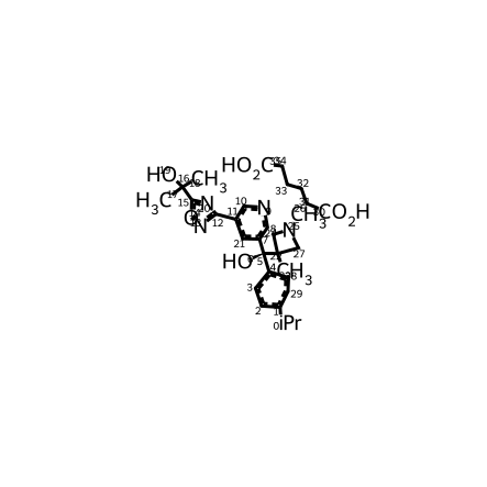 CC(C)c1ccc([C@](O)(c2cncc(-c3noc(C(C)(C)O)n3)c2)C2(C)CN(C)C2)cc1.O=C(O)CCCCC(=O)O